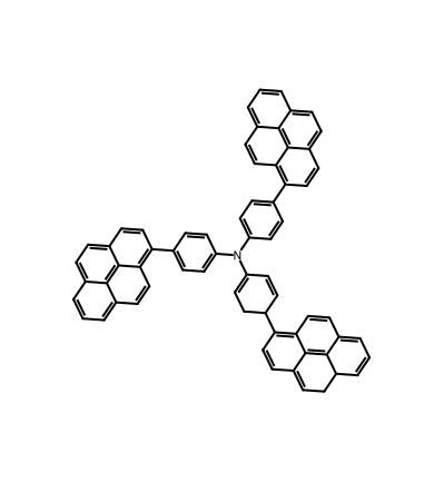 C1=CC2CC=c3ccc(C4C=CC(N(c5ccc(-c6ccc7ccc8cccc9ccc6c7c89)cc5)c5ccc(-c6ccc7ccc8cccc9ccc6c7c89)cc5)=CC4)c4ccc(c2c34)=C1